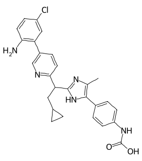 Cc1nc(C(CC2CC2)c2ccc(-c3cc(Cl)ccc3N)cn2)[nH]c1-c1ccc(NC(=O)O)cc1